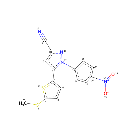 CSc1ccc(-c2cc(C#N)nn2-c2ccc([N+](=O)[O-])cc2)s1